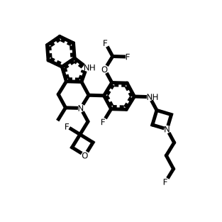 CC1Cc2c([nH]c3ccccc23)C(c2c(F)cc(NC3CN(CCCF)C3)cc2OC(F)F)N1CC1(F)COC1